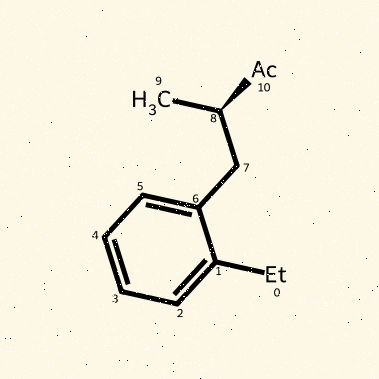 CCc1ccccc1C[C@@H](C)C(C)=O